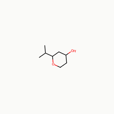 CC(C)C1CC(O)CCO1